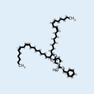 CCCCC/C=C\C/C=C\CCCCCCCC1OC2(CCN(C(O)OCc3ccccc3)C2)OC1CCCCCCC/C=C\C/C=C\CCCCC